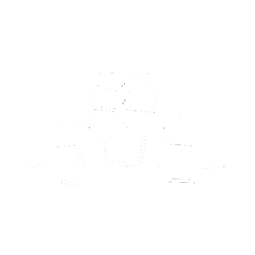 Cc1cc(C)cc(C(P)(c2cc(C)cc(C)c2)c2cccc(C(P)(c3cc(C)cc(C)c3)c3cc(C)cc(C)c3)n2)c1